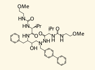 COCCNC(=O)N[C@H](C(=O)NC(Cc1ccccc1)C(O)CN(Cc1ccc(-c2ccccc2)cc1)NC(=O)[C@@H](NC(=O)NCCOC)C(C)C)C(C)C